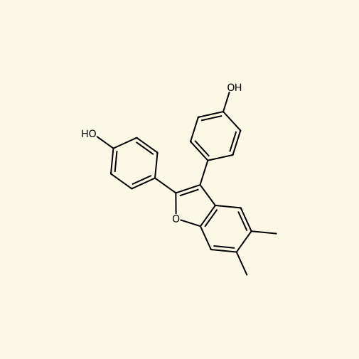 Cc1cc2oc(-c3ccc(O)cc3)c(-c3ccc(O)cc3)c2cc1C